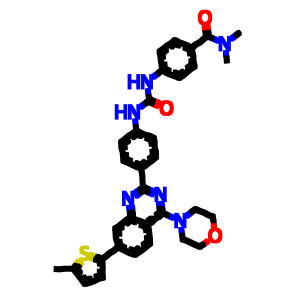 Cc1ccc(-c2ccc3c(N4CCOCC4)nc(-c4ccc(NC(=O)Nc5ccc(C(=O)N(C)C)cc5)cc4)nc3c2)s1